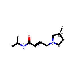 CC(C)NC(=O)/C=C/CN1CC[C@H](C)C1